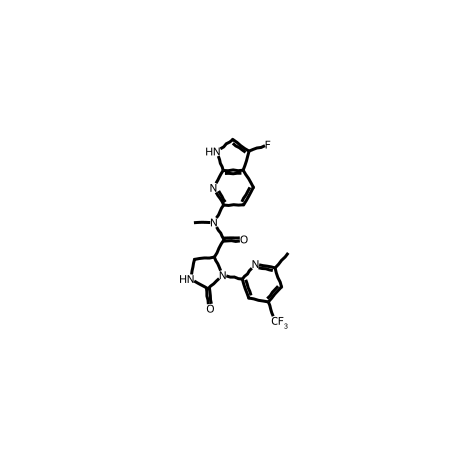 Cc1cc(C(F)(F)F)cc(N2C(=O)NCC2C(=O)N(C)c2ccc3c(F)c[nH]c3n2)n1